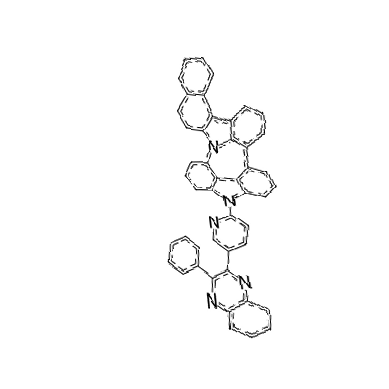 c1ccc(-c2nc3ccccc3nc2-c2ccc(-n3c4cccc5c6cccc7c8c9ccccc9ccc8n(c8cccc3c8c54)c67)nc2)cc1